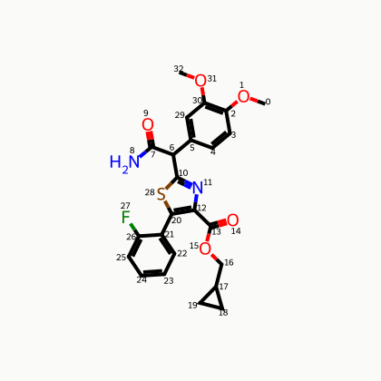 COc1ccc(C(C(N)=O)c2nc(C(=O)OCC3CC3)c(-c3ccccc3F)s2)cc1OC